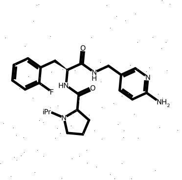 CC(C)N1CCCC1C(=O)N[C@@H](Cc1ccccc1F)C(=O)NCc1ccc(N)nc1